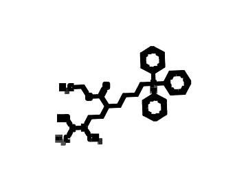 CCOC(=O)C(CCCC[PH](c1ccccc1)(c1ccccc1)c1ccccc1)CCN(C)B(C)O